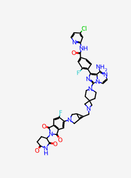 Nc1nccn2c(N3CCC4(CC3)CN(CC3=C5CN(c6cc7c(cc6F)C(=O)N(C6CCC(=O)NC6=O)C7=O)CC35)C4)nc(-c3ccc(C(=O)Nc4cc(Cl)ccn4)cc3F)c12